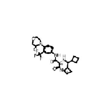 NC(=O)[C@@H](NC(C1CCC1)C1CCC1)C(=O)Nc1ccc(N2CCOCC2=O)c(C(F)(F)F)c1